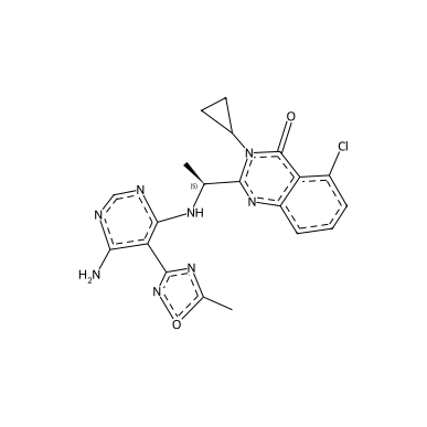 Cc1nc(-c2c(N)ncnc2N[C@@H](C)c2nc3cccc(Cl)c3c(=O)n2C2CC2)no1